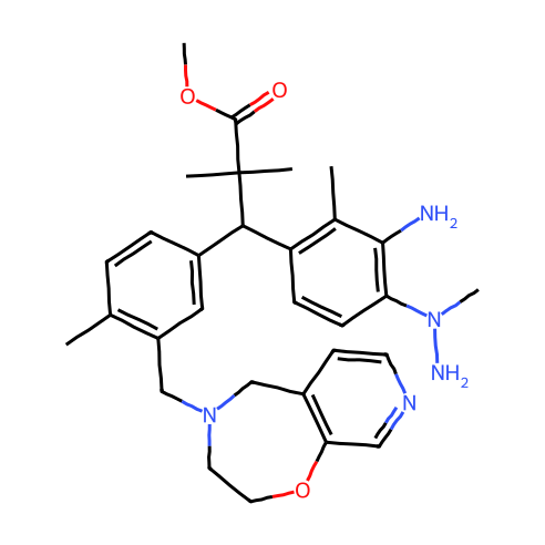 COC(=O)C(C)(C)C(c1ccc(C)c(CN2CCOc3cnccc3C2)c1)c1ccc(N(C)N)c(N)c1C